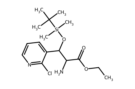 CCOC(=O)C(N)C(O[Si](C)(C)C(C)(C)C)c1cccnc1Cl